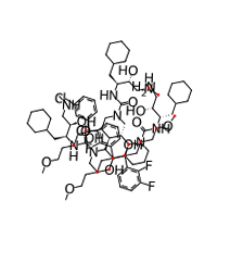 CNC[C@@H](O)[C@H](CC1CCCCC1)NC(=O)N1CC([C@@](O)(CCCCOC)c2cccc(Cl)c2)[C@H](C2C([C@@](O)(CCCCOC)c3cccc(F)c3F)CCCN2C(=O)N[C@@H](CC2CCCCC2)[C@H](O)CNC)[C@@H]([C@@H]2C([C@@](O)(CCCCOC)c3cccc(Cl)c3F)CCCN2C(=O)N[C@@H](CC2CCCCC2)[C@H](O)CN)C1